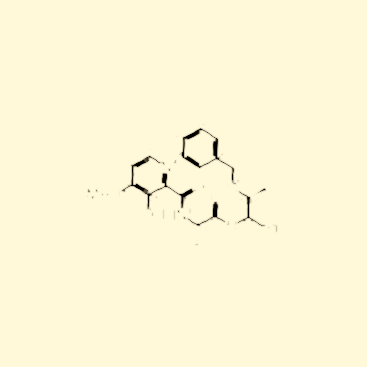 COc1ccnc(C(=O)N[C@@H](C)C(=O)OC(C(C)C)[C@H](C)OCc2ccccc2)c1O